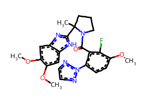 COc1cc2nc(C3(C)CCCN3C(=O)c3c(-n4nccn4)ccc(OC)c3F)[nH]c2cc1OC